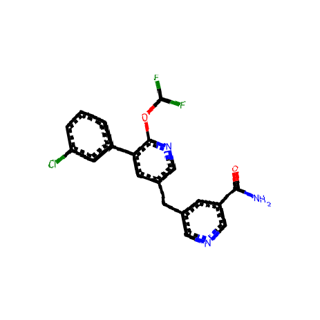 NC(=O)c1cncc(Cc2cnc(OC(F)F)c(-c3cccc(Cl)c3)c2)c1